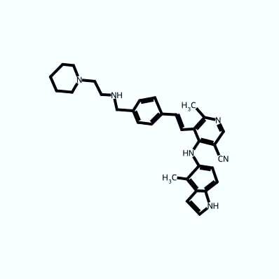 Cc1ncc(C#N)c(Nc2ccc3[nH]ccc3c2C)c1C=Cc1ccc(CNCCN2CCCCC2)cc1